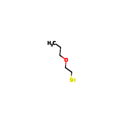 CCCOCCS